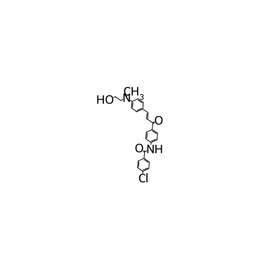 CN(CCO)c1ccc(/C=C/C(=O)c2ccc(NC(=O)c3ccc(Cl)cc3)cc2)cc1